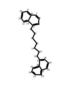 [CH](CCCc1cccc2ccccc12)CCCc1cccc2ccccc12